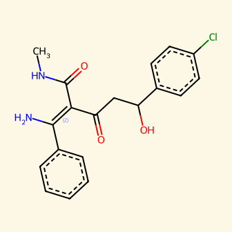 CNC(=O)/C(C(=O)CC(O)c1ccc(Cl)cc1)=C(\N)c1ccccc1